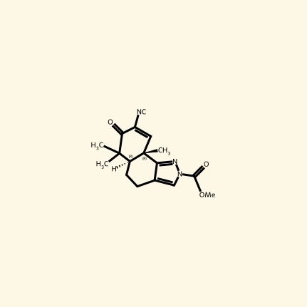 [C-]#[N+]C1=C[C@]2(C)c3nn(C(=O)OC)cc3CC[C@H]2C(C)(C)C1=O